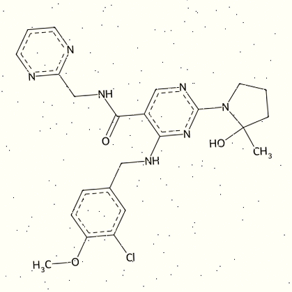 COc1ccc(CNc2nc(N3CCCC3(C)O)ncc2C(=O)NCc2ncccn2)cc1Cl